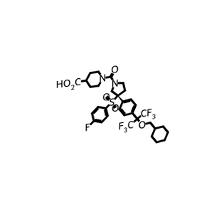 O=C(O)C1CCN(C(=O)N2CC[C@](c3ccc(C(OCC4CCCCC4)(C(F)(F)F)C(F)(F)F)cc3)(S(=O)(=O)c3ccc(F)cc3)C2)CC1